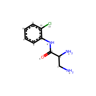 NCC(N)C(=O)Nc1ccccc1Cl